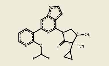 C[C@@H]1CN(c2nc(-c3cccnc3OC(F)F)cn3nccc23)C(=O)[C@]1(C#N)C1CC1